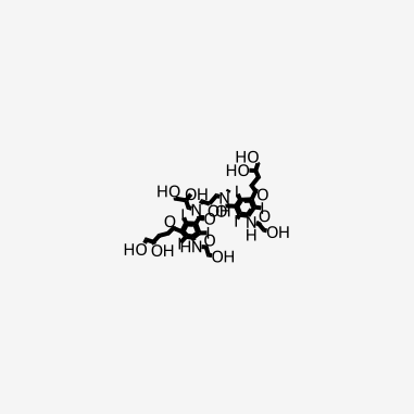 CN(CC(O)CN(CC(O)CO)C(=O)c1c(I)c(NC(=O)CO)c(I)c(C(=O)CCC(O)CO)c1I)C(=O)c1c(I)c(NC(=O)CO)c(I)c(C(=O)CCC(O)CO)c1I